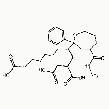 NNC(=O)C1CCCOC(c2ccccc2)(C(CCCCCCC(=O)O)CC(CC(=O)O)C(=O)O)C1